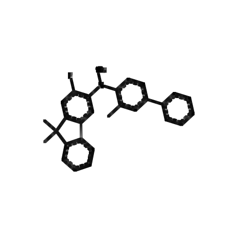 Cc1cc(-c2ccccc2)ccc1N(c1cc2c(cc1F)C(C)(C)c1ccccc1-2)C(C)(C)C